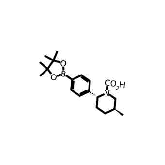 C[C@H]1CC[C@H](c2ccc(B3OC(C)(C)C(C)(C)O3)cc2)N(C(=O)O)C1